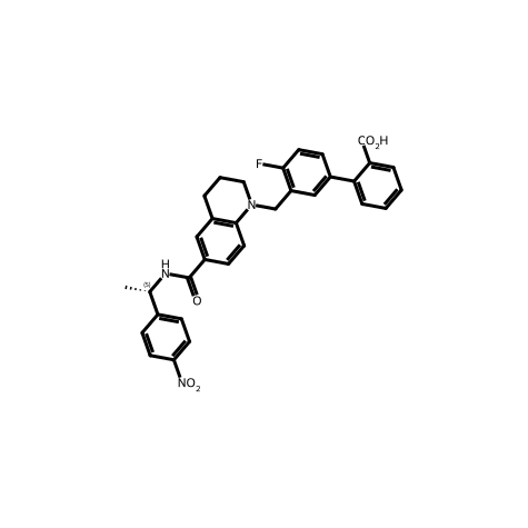 C[C@H](NC(=O)c1ccc2c(c1)CCCN2Cc1cc(-c2ccccc2C(=O)O)ccc1F)c1ccc([N+](=O)[O-])cc1